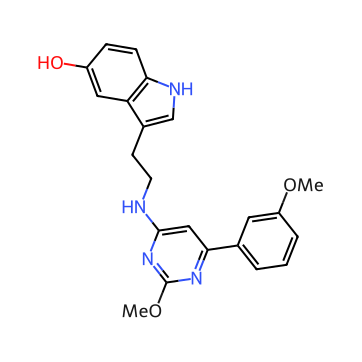 COc1cccc(-c2cc(NCCc3c[nH]c4ccc(O)cc34)nc(OC)n2)c1